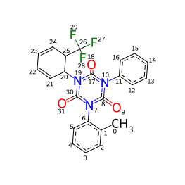 Cc1ccccc1-n1c(=O)n(-c2ccccc2)c(=O)n(C2C=CC=CC2C(F)(F)F)c1=O